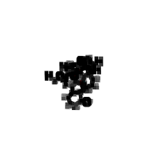 CN(Cc1c(O[C@@](C)(c2ccccc2)c2ncc[nH]2)ccc2c1CCCC2=O)c1ccc(C(=O)O)cc1